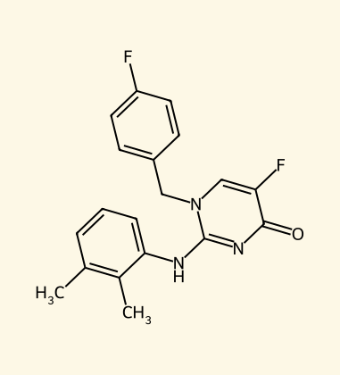 Cc1cccc(Nc2nc(=O)c(F)cn2Cc2ccc(F)cc2)c1C